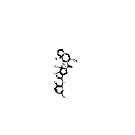 Cc1ccc(F)c(Nc2n[nH]c3c2CN(C(=O)N2CC4(C)CCCN4C[C@@H]2C)C3(C)C)n1